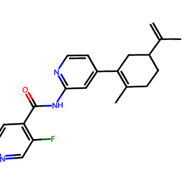 C=C(C)C1CCC(C)=C(c2ccnc(NC(=O)c3ccncc3F)c2)C1